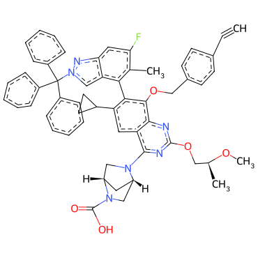 C#Cc1ccc(COc2c(-c3c(C)c(F)cc4nn(C(c5ccccc5)(c5ccccc5)c5ccccc5)cc34)c(C3CC3)cc3c(N4C[C@@H]5C[C@H]4CN5C(=O)O)nc(OC[C@H](C)OC)nc23)cc1